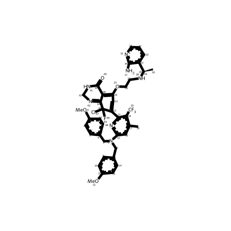 COc1ccc(CN(Cc2ccc(OC)cc2)c2cc(C)c(C(F)(F)F)c(C3=CC(OCCN[C@H](C)c4cccnc4N)=C4C(=O)NCN=C4C3(F)Cl)n2)cc1